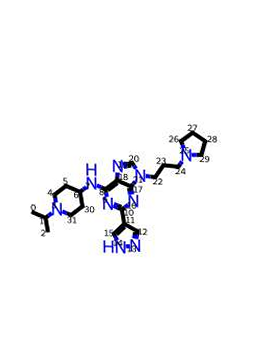 CC(C)N1CCC(Nc2nc(-c3cn[nH]c3)nc3c2ncn3CCCN2CCCC2)CC1